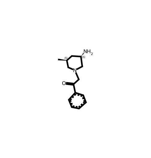 C[C@H]1C[C@H](N)CN(CC(=O)c2ccccc2)C1